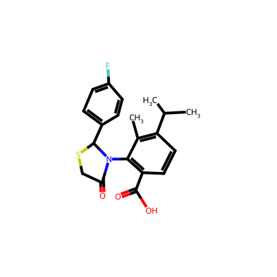 Cc1c(C(C)C)ccc(C(=O)O)c1N1C(=O)CSC1c1ccc(F)cc1